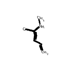 C=C/C=C(/Cl)NC